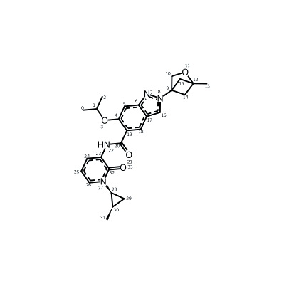 CC(C)Oc1cc2nn(C34COC(C)(C3)C4)cc2cc1C(=O)Nc1cccn([C@H]2C[C@H]2C)c1=O